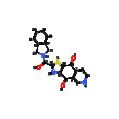 O=C1c2cnccc2C(=O)c2sc(C(=O)N3Cc4ccccc4C3)nc21